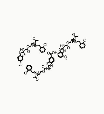 CC(=O)N(CCOC(=O)Nc1nc2ccc(C(=O)O)cc2s1)NCc1ccccc1Cl.COc1ccc2nc(NC(=O)OCCN(NCc3ccccc3Cl)C(C)=O)sc2c1.COc1cccc2sc(NC(=O)OCCN(NCc3ccccc3Cl)C(C)=O)nc12